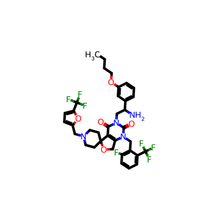 CCCCOc1cccc(C(N)Cn2c(=O)c3c(n(Cc4c(F)cccc4C(F)(F)F)c2=O)COC32CCN(Cc3ccc(C(F)(F)F)o3)CC2)c1